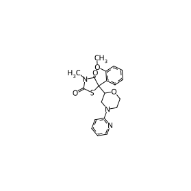 COc1ccccc1C1(C2CN(c3ccccn3)CCO2)SC(=O)N(C)C1=O